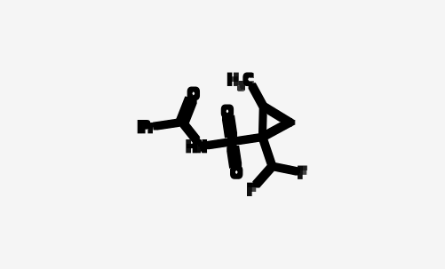 CC(C)C(=O)NS(=O)(=O)C1(C(F)F)CC1C